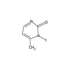 Cc1ccnc(=O)n1I